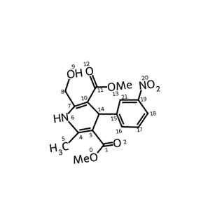 COC(=O)C1=C(C)NC(CO)=C(C(=O)OC)C1c1cccc([N+](=O)[O-])c1